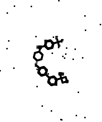 OC1(c2cc(-c3ccc(S[C@H]4CC[C@H](Nc5ccc(C(F)(F)F)cn5)CC4)cc3)ccn2)COC1